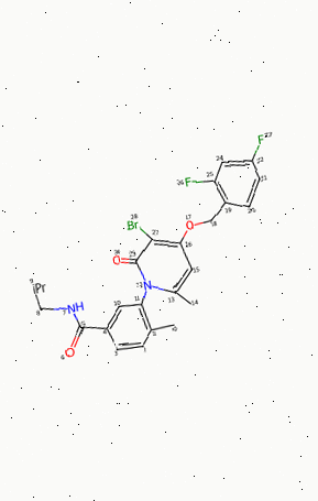 Cc1ccc(C(=O)NCC(C)C)cc1-n1c(C)cc(OCc2ccc(F)cc2F)c(Br)c1=O